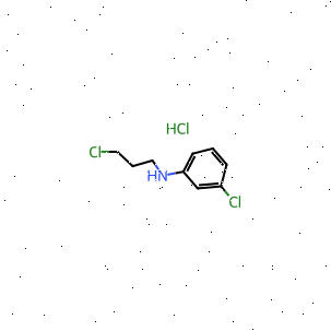 Cl.ClCCCNc1cccc(Cl)c1